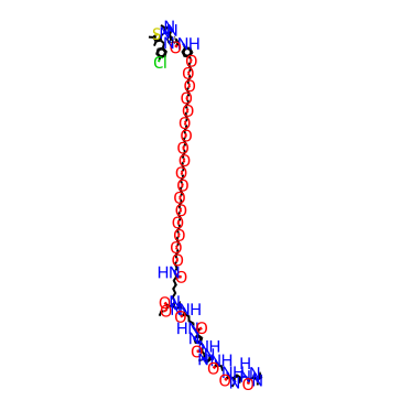 CCOC(=O)c1nc(NC(=O)CCCNC(=O)c2cc(NC(=O)c3nc(NC(=O)CCNC(=O)c4cc(NC(=O)c5nccn5C)cn4C)cn3C)cn2C)cn1CCCCCC(=O)NCCOCCOCCOCCOCCOCCOCCOCCOCCOCCOCCOCCOCCOCCOCCOCCOCCOc1ccc(NC(=O)C[C@@H]2N=C(c3ccc(Cl)cc3)c3c(sc(C)c3C)-n3c(C)nnc32)cc1